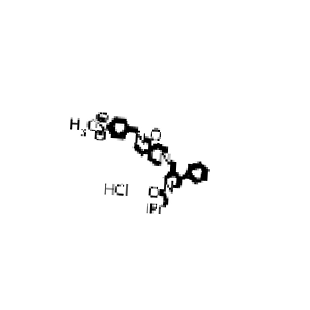 CC(C)CC(=O)N1CC(CN2CCC3(CC2)CCN(Cc2ccc(S(C)(=O)=O)cc2)C3=O)C(c2ccccc2)C1.Cl